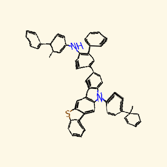 CC1C=C(Nc2ccc(-c3ccc4c(c3)c3cc5sc6ccccc6c5cc3n4-c3ccc(C4(C)C=CC=CC4)cc3)cc2-c2ccccc2)C=CC1c1ccccc1